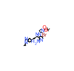 CC(C)(C)OC(=O)N1CC[C@H](n2nc(C#Cc3ccc4c(c3)ncn4C3CC3)c3c(N)ncc(Br)c32)C1